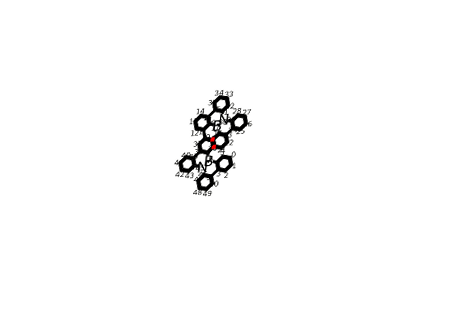 c1ccc2c(c1)B1c3ccc(-c4cccc5c4B4c6ccccc6-c6ccccc6N4c4ccccc4-5)cc3-c3ccccc3N1c1ccccc1-2